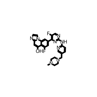 CN1CCN(Cc2ccc(Nc3ncc(F)c(-c4cc(F)c5c(O)cc6nccn6c5c4)n3)nc2)CC1